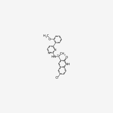 COc1ccccc1-c1ccnc(N[C@@H](C)c2cc3cc(Cl)ccc3[nH]c2=O)n1